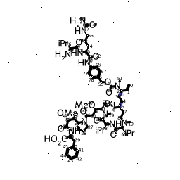 C=C/C(=C\C=C(/C)CCN(C)[C@H](C(=O)N[C@H](C(=O)N(C)[C@@H]([C@@H](C)CC)[C@@H](CC(=O)N1CCC[C@H]1[C@H](OC)[C@@H](C)C(=O)N[C@@H](Cc1ccccc1)C(=O)O)OC)C(C)C)C(C)C)N(C)C(=O)OCc1ccc(NC(=O)[C@H](CCCNC(N)=O)NC(=O)[C@@H](N)C(C)C)cc1